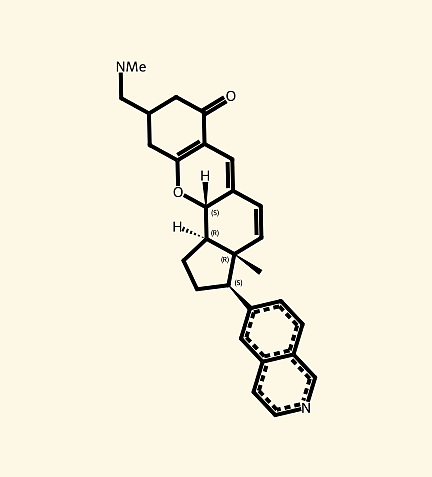 CNCC1CC(=O)C2=C(C1)O[C@@H]1C(=C2)C=C[C@]2(C)[C@@H](c3ccc4cnccc4c3)CC[C@@H]12